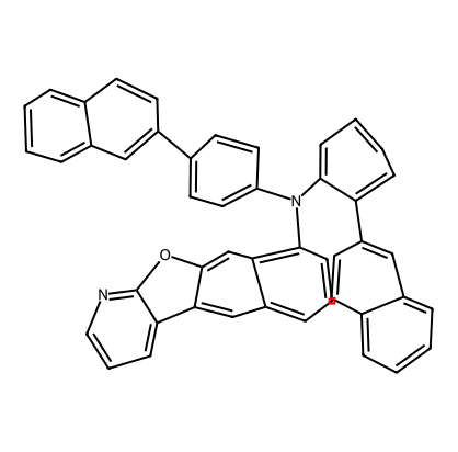 c1ccc(N(c2ccc(-c3ccc4ccccc4c3)cc2)c2cccc3cc4c(cc23)oc2ncccc24)c(-c2ccc3ccccc3c2)c1